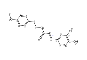 COc1ccc(CCOC(=O)/C=C/c2ccc(O)c(O)c2)cc1